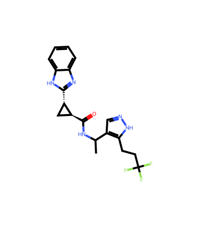 CC(NC(=O)[C@H]1C[C@@H]1c1nc2ccccc2[nH]1)c1cn[nH]c1CCC(F)(F)F